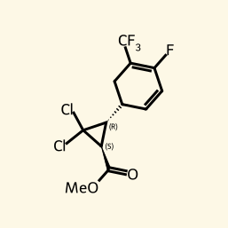 COC(=O)[C@@H]1[C@@H](C2C=CC(F)=C(C(F)(F)F)C2)C1(Cl)Cl